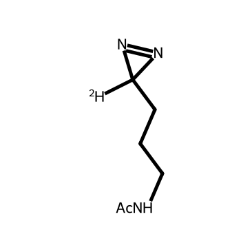 [2H]C1(CCCNC(C)=O)N=N1